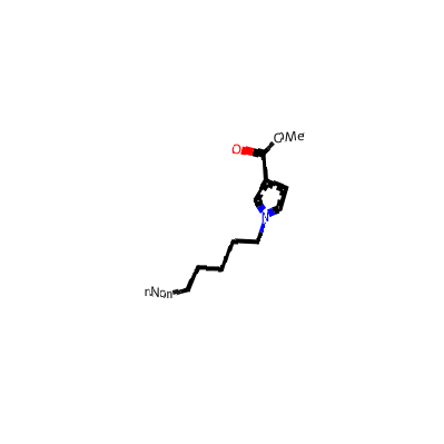 CCCCCCCCCCCCCCn1ccc(C(=O)OC)c1